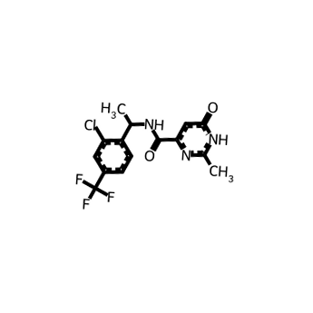 Cc1nc(C(=O)NC(C)c2ccc(C(F)(F)F)cc2Cl)cc(=O)[nH]1